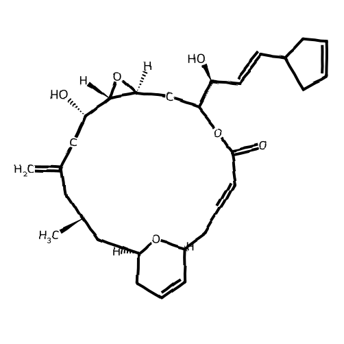 C=C1C[C@H](C)C[C@@H]2CC=C[C@@H](C/C=C\C(=O)OC([C@@H](O)/C=C/C3CC=CC3)C[C@@H]3O[C@H]3[C@@H](O)C1)O2